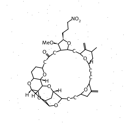 C=C1CC2CCC3OC4C5C[C@@H]3OC3[C@H]6OC(CCC6O[C@@H]4[C@H]3O5)CC(=O)CC3C(CC4O[C@@H](CCC1O2)CC(C)C4=C)O[C@H](CCC[N+](=O)[O-])[C@@H]3OC